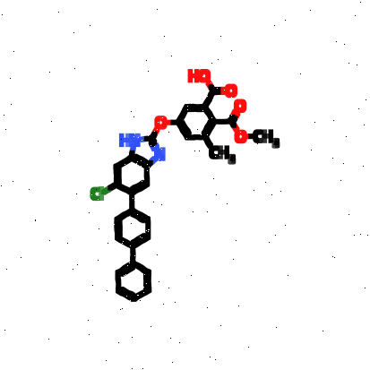 COC(=O)c1c(C)cc(Oc2nc3cc(-c4ccc(-c5ccccc5)cc4)c(Cl)cc3[nH]2)cc1C(=O)O